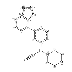 N#CC(c1cccc(-c2ccnc3[nH]ncc23)c1)N1CCOCC1